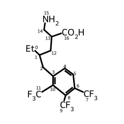 CCC(Cc1ccc(C(F)(F)F)c(C(F)(F)F)c1C(F)(F)F)CC(CN)C(=O)O